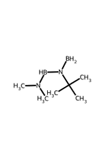 BN(BN(C)C)C(C)(C)C